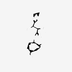 C=C(C(=O)Oc1ccc(Cl)cc1Cl)C(O)c1nccs1